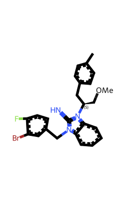 COC[C@H](Cc1ccc(C)cc1)n1c(=N)n(Cc2ccc(F)c(Br)c2)c2ccccc21